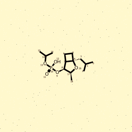 CC(C)C[C@@]12CCC1[C@H](OP(=O)(O)OC(C)C)[C@H](C)O2